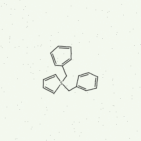 [C]1=CC=CS1(Cc1ccccc1)Cc1ccccc1